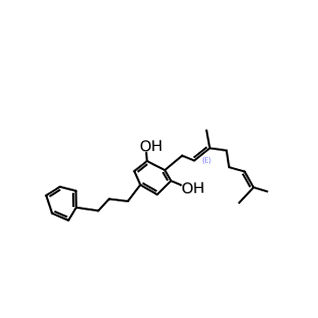 CC(C)=CCC/C(C)=C/Cc1c(O)cc(CCCc2ccccc2)cc1O